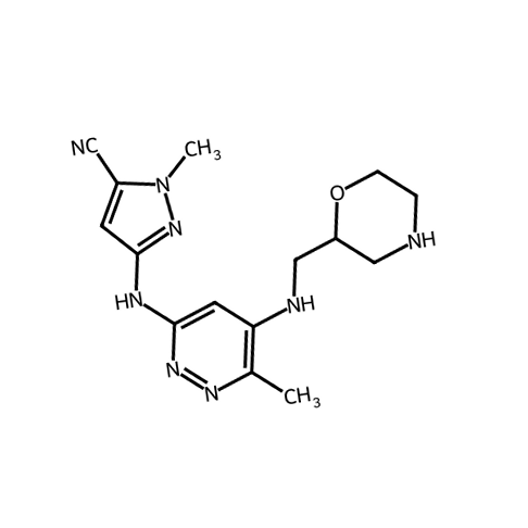 Cc1nnc(Nc2cc(C#N)n(C)n2)cc1NCC1CNCCO1